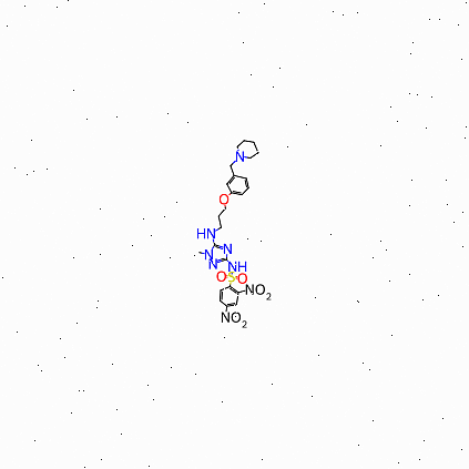 Cn1nc(NS(=O)(=O)c2ccc([N+](=O)[O-])cc2[N+](=O)[O-])nc1NCCCOc1cccc(CN2CCCCC2)c1